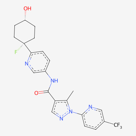 Cc1c(C(=O)Nc2ccc([C@]3(F)CC[C@@H](O)CC3)nc2)cnn1-c1ccc(C(F)(F)F)cn1